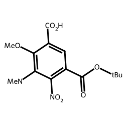 CNc1c(OC)c(C(=O)O)cc(C(=O)OC(C)(C)C)c1[N+](=O)[O-]